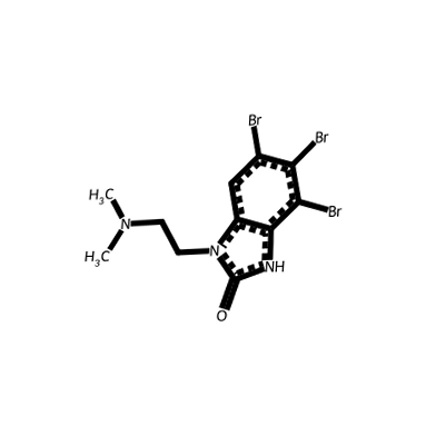 CN(C)CCn1c(=O)[nH]c2c(Br)c(Br)c(Br)cc21